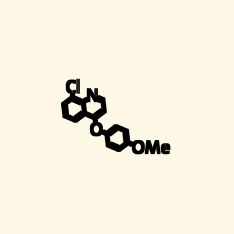 COc1ccc(Oc2ccnc3c(Cl)cccc23)cc1